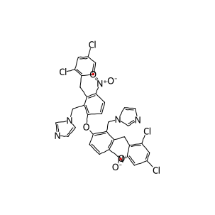 O=[N+]([O-])c1ccc(Oc2ccc([N+](=O)[O-])c(Cc3ccc(Cl)cc3Cl)c2Cn2ccnc2)c(Cn2ccnc2)c1Cc1ccc(Cl)cc1Cl